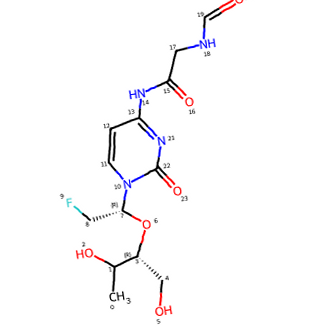 CC(O)[C@@H](CO)O[C@H](CF)n1ccc(NC(=O)CNC=O)nc1=O